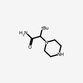 CC(C)(C)C(C(N)=O)N1CCNCC1